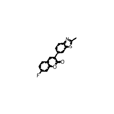 Cc1nc2ccc(-c3cc4ccc(F)cc4oc3=O)cc2s1